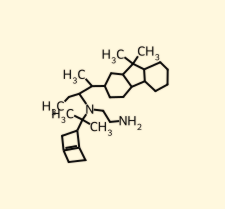 CCC(C(C)C1CCC2C3CCCCC3C(C)(C)C2C1)N(CCN)C(C)(C)C1CC2=C1CC2